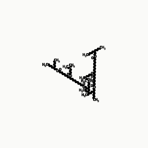 CCCCCC(CCCCC)CCOC(=O)CCCCCCCCCC(CCCCCCCC(=O)OCCC(CCCCC)CCC(CC)C(CCC)CC(CCCCC)CCOC(=O)CCCCCCCCCC(CCCCCCCC(=O)OCCC(CCCCC)CCCCC)OC(=O)CCCN(CC)CC)OC(=O)CCCN(C)C(C)C